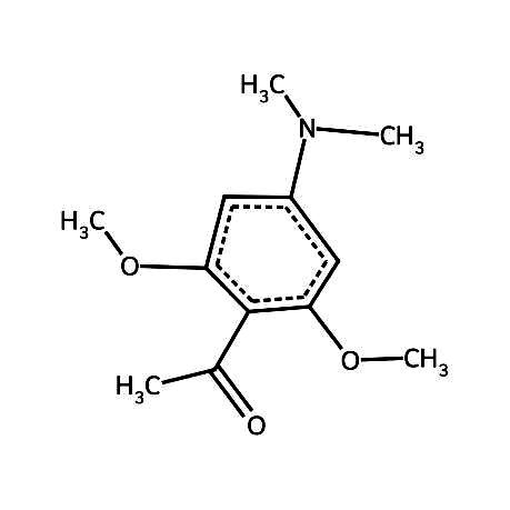 COc1cc(N(C)C)cc(OC)c1C(C)=O